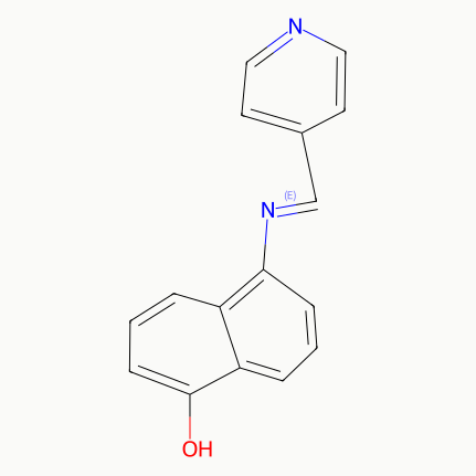 Oc1cccc2c(/N=C/c3ccncc3)cccc12